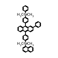 C[Si](C)(c1ccccc1)c1ccc(-c2c3ccccc3c(-c3ccc([Si](C)(C)c4cccc5ccccc45)cc3)c3ccc(-c4ccccc4)cc23)cc1